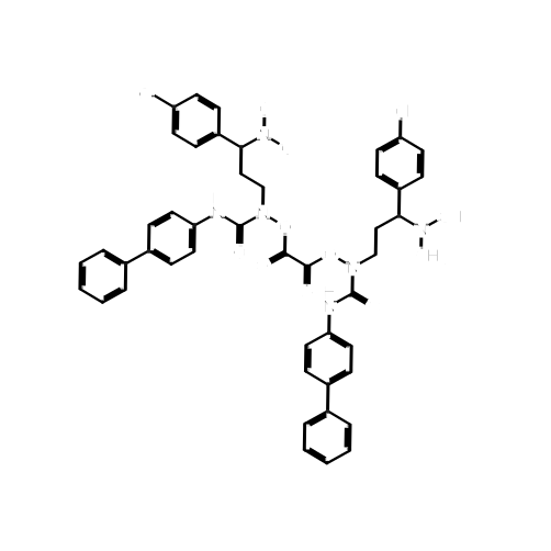 CN(C)C(CCN(OC(=O)C(=O)ON(CCC(c1ccc(Cl)cc1)N(C)C)C(=O)Nc1ccc(-c2ccccc2)cc1)C(=O)Nc1ccc(-c2ccccc2)cc1)c1ccc(Cl)cc1